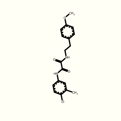 COc1ccc(CCNC(=O)C(=O)Nc2ccc(Cl)c(C)c2)cc1